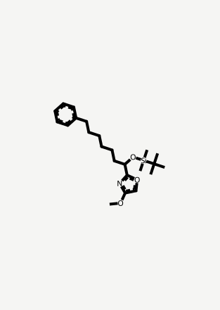 COc1coc(C(CCCCCCc2ccccc2)O[Si](C)(C)C(C)(C)C)n1